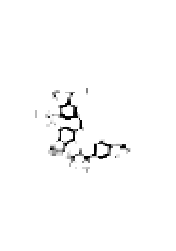 COc1cc(/C=C\c2cc(O)c(OC)c(NC(C)CC(=O)c3ccc(OC(F)(F)F)cc3)c2)cc(OC)c1OC